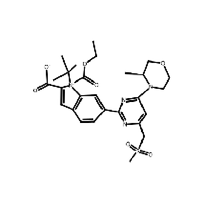 CCOC(=O)[N+]1(C(C)(C)C)C(C(=O)[O-])=Cc2ccc(-c3nc(CS(C)(=O)=O)cc(N4CCOC[C@@H]4C)n3)cc21